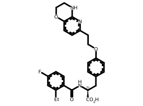 CCc1cc(F)ccc1C(=O)N[C@@H](Cc1ccc(OCCc2ccc3c(n2)NCCO3)cc1)C(=O)O